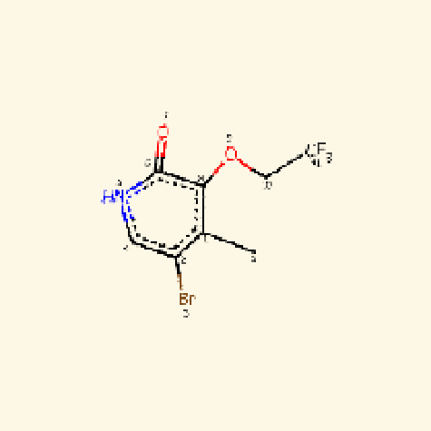 Cc1c(Br)c[nH]c(=O)c1OCC(F)(F)F